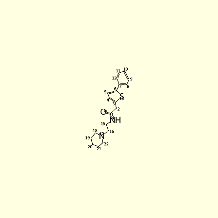 O=C(Cc1ccc(-c2ccccc2)s1)NCCN1CCCCC1